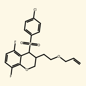 C=CCOCCC1COc2c(F)ccc(F)c2C1S(=O)(=O)c1ccc(Cl)cc1